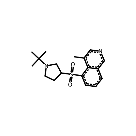 Cc1cncc2cccc(S(=O)(=O)C3CCN(C(C)(C)C)C3)c12